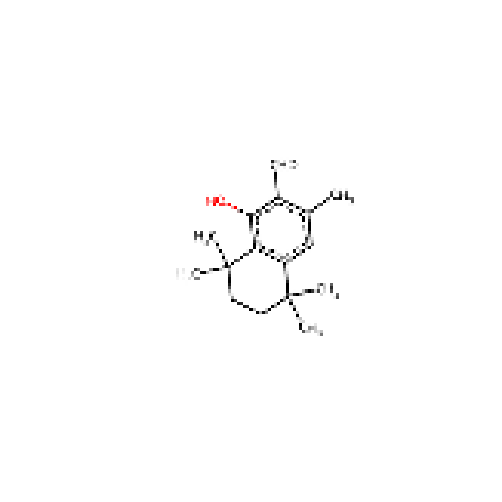 Cc1cc2c(c(O)c1C=O)C(C)(C)CCC2(C)C